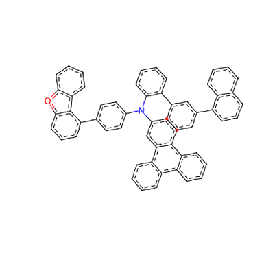 c1cc(-c2ccccc2N(c2ccc(-c3cccc4oc5ccccc5c34)cc2)c2ccc3c4ccccc4c4ccccc4c3c2)cc(-c2cccc3ccccc23)c1